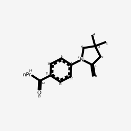 C=C1CC(C)(C)CN1c1ccc(C(=O)CCC)cc1